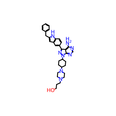 Nc1ncnc2c1c(-c1ccc3[nH]c(Cc4ccccc4)cc3c1)nn2C1CCC(N2CCN(CCCO)CC2)CC1